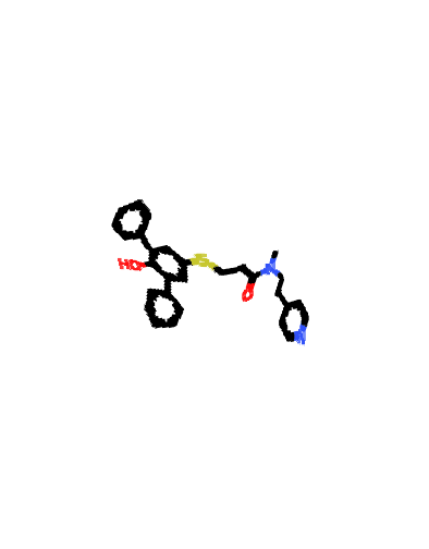 CN(CCc1ccncc1)C(=O)CCSc1cc(-c2ccccc2)c(O)c(-c2ccccc2)c1